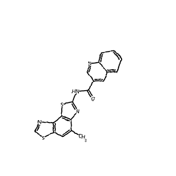 Cc1cc2scnc2c2sc(NC(=O)c3cnc4ccccc4c3)nc12